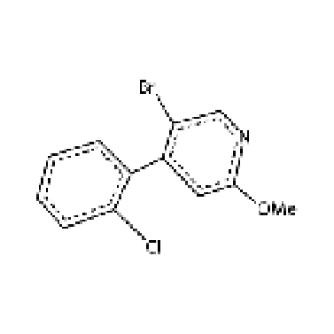 COc1cc(-c2ccccc2Cl)c(Br)cn1